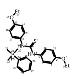 CCOc1ccc(NC(=S)Nc2ccc(OCC)cc2)cc1.C[PH](C)(C)c1ccccc1